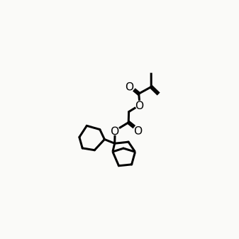 C=C(C)C(=O)OCC(=O)OC1(C2CCCCC2)CC2CCC1C2